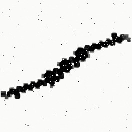 C=CC(=O)OCCCCCCOc1ccc(C(=O)Oc2ccc(C(=O)Oc3ccc(OCCCCCCOC(=O)C=C)c(F)c3F)cc2)cc1